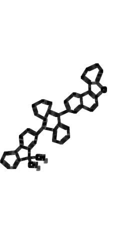 CC1(C)c2ccccc2-c2ccc(-c3c4ccccc4c(-c4ccc5c(ccc6oc7ccccc7c65)c4)c4ccccc34)cc21